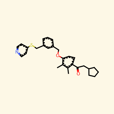 Cc1c(OCc2cccc(CSc3ccncc3)c2)ccc(C(=O)CC2CCCC2)c1C